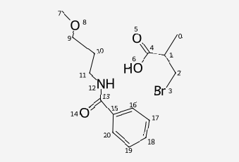 CC(CBr)C(=O)O.COCCCNC(=O)c1ccccc1